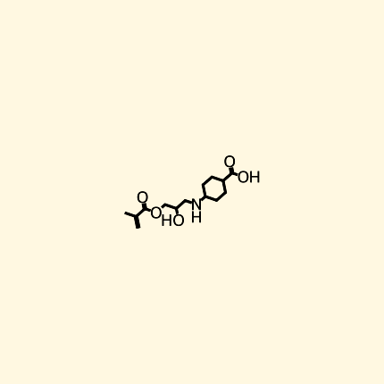 C=C(C)C(=O)OCC(O)CNC1CCC(C(=O)O)CC1